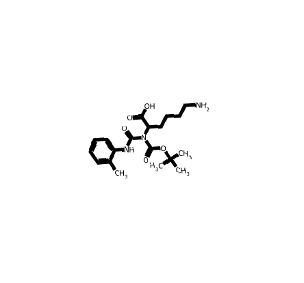 Cc1ccccc1NC(=O)N(C(=O)OC(C)(C)C)C(CCCCN)C(=O)O